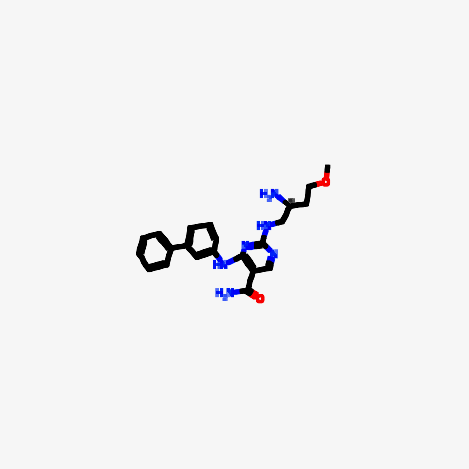 COCC[C@H](N)CNc1ncc(C(N)=O)c(Nc2cccc(-c3ccccc3)c2)n1